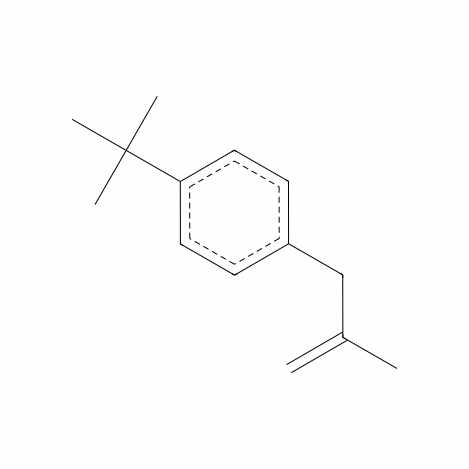 C=C(C)Cc1ccc(C(C)(C)C)cc1